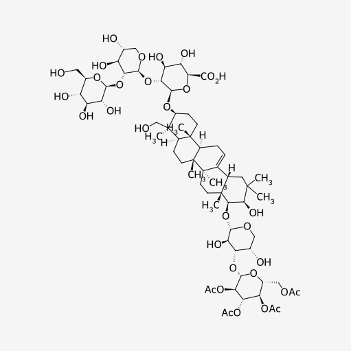 CC(=O)OC[C@H]1O[C@@H](O[C@@H]2[C@@H](O)[C@H](O[C@@H]3[C@H](O)C(C)(C)C[C@H]4C5=CC[C@@H]6[C@@]7(C)CC[C@H](O[C@@H]8O[C@H](C(=O)O)[C@@H](O)[C@H](O)[C@H]8O[C@@H]8OC[C@@H](O)[C@H](O)[C@H]8O[C@@H]8O[C@H](CO)[C@@H](O)[C@H](O)[C@H]8O)[C@](C)(CO)[C@@H]7CC[C@@]6(C)[C@]5(C)CC[C@@]34C)OC[C@@H]2O)[C@H](OC(C)=O)[C@@H](OC(C)=O)[C@@H]1OC(C)=O